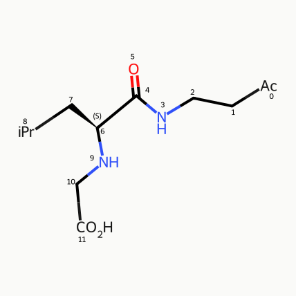 CC(=O)CCNC(=O)[C@H](CC(C)C)NCC(=O)O